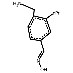 CCCc1cc(/C=N/O)ccc1CN